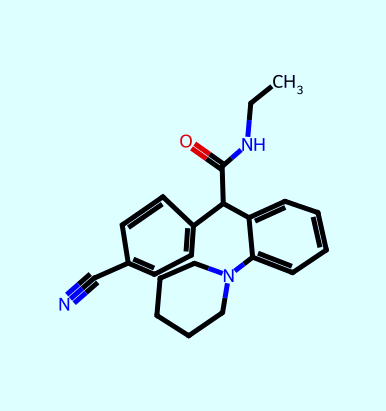 CCNC(=O)C(c1ccc(C#N)cc1)c1ccccc1N1CCCCC1